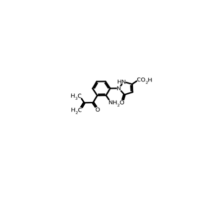 C=C(C)C(=O)c1cccc(-n2[nH]c(C(=O)O)cc2=O)c1N